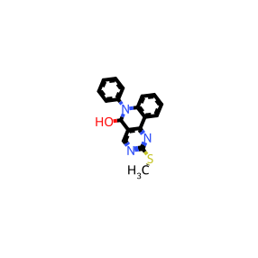 CSc1ncc2c(n1)-c1ccccc1N(c1ccccc1)C2O